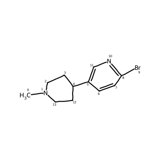 CN1CCC(c2ccc(Br)nc2)CC1